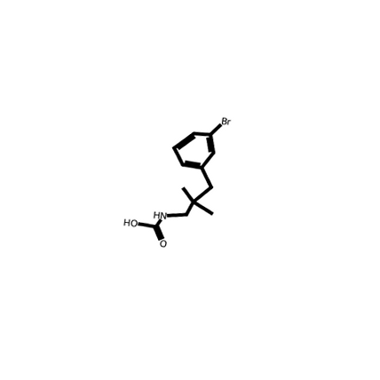 CC(C)(CNC(=O)O)Cc1cccc(Br)c1